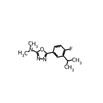 CC(C)c1cc(-c2nnc(N(C)C)o2)ccc1F